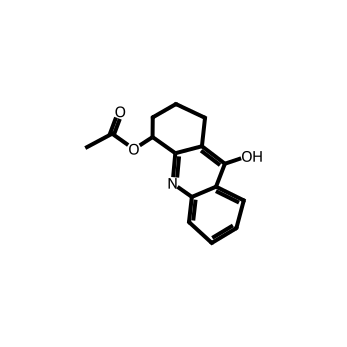 CC(=O)OC1CCCc2c1nc1ccccc1c2O